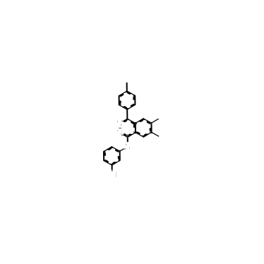 Cc1ccc(-c2nnc(Nc3cccc(C(F)(F)F)c3)c3cc(C)c(C)cc23)cc1